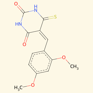 COc1ccc(C=C2C(=O)NC(=O)NC2=S)c(OC)c1